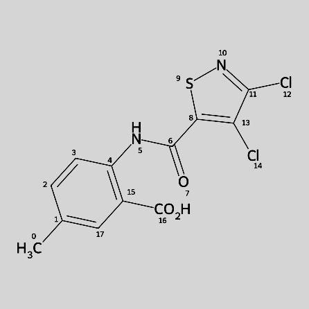 Cc1ccc(NC(=O)c2snc(Cl)c2Cl)c(C(=O)O)c1